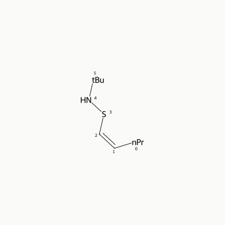 CCC/C=C\SNC(C)(C)C